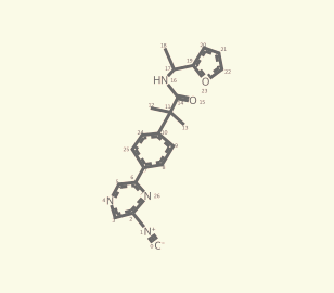 [C-]#[N+]c1cncc(-c2ccc(C(C)(C)C(=O)NC(C)c3ccco3)cc2)n1